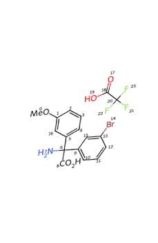 COc1cccc(C(N)(C(=O)O)c2cccc(Br)c2)c1.O=C(O)C(F)(F)F